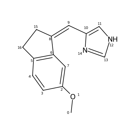 COc1ccc2c(c1)/C(=C\c1c[nH]cn1)CC2